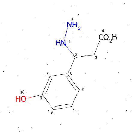 NNC(CC(=O)O)c1cccc(O)c1